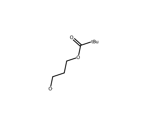 CC(C)(C)C(=O)OCCC[O]